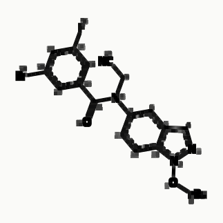 CCCCOn1ncc2cc(N(CC#N)C(=O)c3cc(F)cc(Br)c3)ccc21